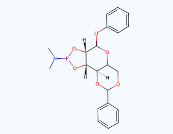 CN(C)P1O[C@H]2[C@@H]3OC(c4ccccc4)OCC3OC(Oc3ccccc3)[C@H]2O1